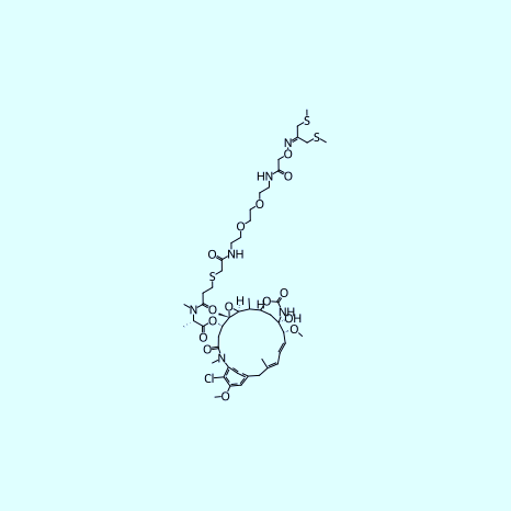 COc1cc2cc(c1Cl)N(C)C(=O)C[C@H](OC(=O)[C@H](C)N(C)C(=O)CCSCC(=O)NCCOCCOCCNC(=O)CON=C(CSC)CSC)[C@]1(C)O[C@H]1C(C)[C@@H]1C[C@@](O)(NC(=O)O1)[C@H](OC)/C=C/C=C(\C)C2